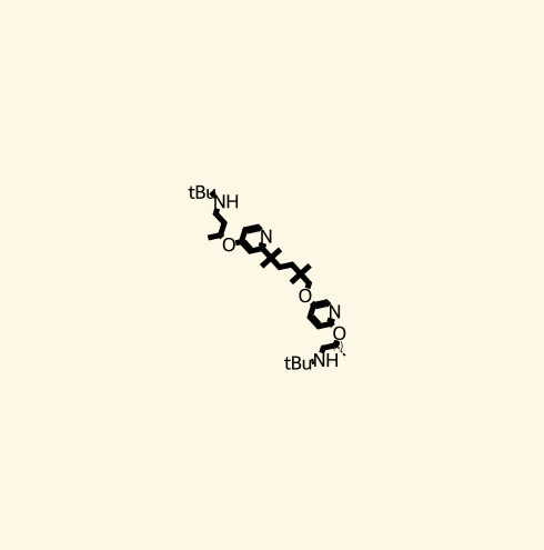 CC(CCNC(C)(C)C)Oc1ccnc(C(C)(C)CCC(C)(C)COc2ccc(O[C@H](C)CNC(C)(C)C)nc2)c1